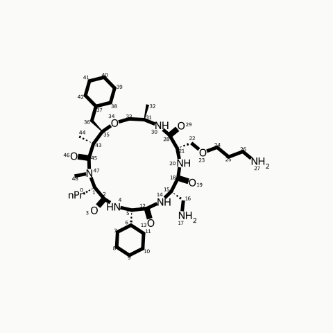 CCC[C@H]1C(=O)N[C@@H](C2CCCCC2)C(=O)N[C@@H](CN)C(=O)N[C@@H](COCCCN)C(=O)N[C@H](C)CO[C@H](CC2CCCCC2)[C@@H](C)C(=O)N1C